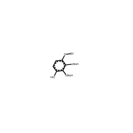 CCCCCCCCCc1c(O)ccc(OCC)c1CCCCCCCCC